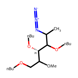 CCCCOCC(OC)[C@H](OCCCC)C(OCCCC)C(C)N=[N+]=[N-]